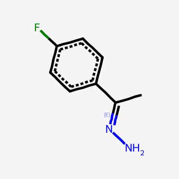 C/C(=N\N)c1ccc(F)cc1